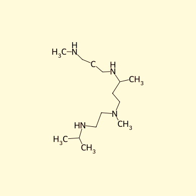 CNCCCNC(C)CCN(C)CCNC(C)C